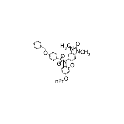 CCCOc1cccc(Oc2cc3c(cc2NS(=O)(=O)c2ccc(OCc4ccccc4)cc2)n(C)c(=O)n3C)c1